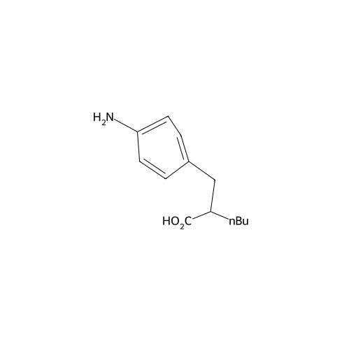 CCCCC(Cc1ccc(N)cc1)C(=O)O